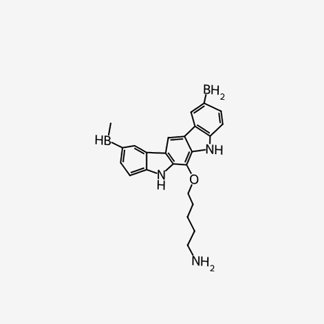 Bc1ccc2[nH]c3c(OCCCCCN)c4[nH]c5ccc(BC)cc5c4cc3c2c1